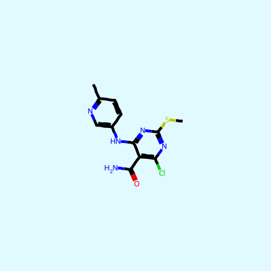 CSc1nc(Cl)c(C(N)=O)c(Nc2ccc(C)nc2)n1